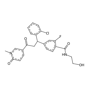 Cn1cc(C(=O)CC(c2ccc(C(=O)NCCO)c(F)c2)c2ccccc2Cl)ccc1=O